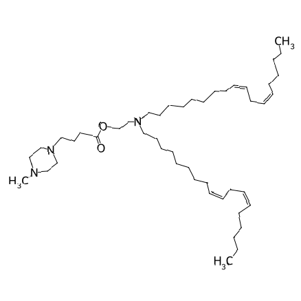 CCCCC/C=C\C/C=C\CCCCCCCCN(CCCCCCCC/C=C\C/C=C\CCCCC)CCOC(=O)CCCN1CCN(C)CC1